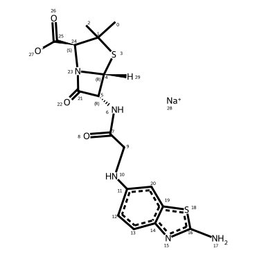 CC1(C)S[C@@H]2[C@H](NC(=O)CNc3ccc4nc(N)sc4c3)C(=O)N2[C@H]1C(=O)[O-].[Na+]